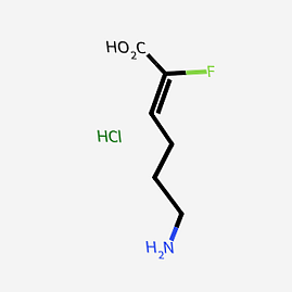 Cl.NCCC/C=C(\F)C(=O)O